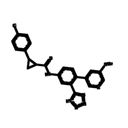 COc1cncc(-c2ccc(NC(=O)C3CC3c3ccc(Cl)cc3)cc2-c2nnn[nH]2)c1